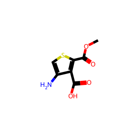 COC(=O)c1scc(N)c1C(=O)O